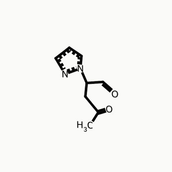 CC(=O)CC(C=O)n1cccn1